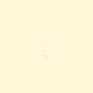 NC(=O)c1ccc(NS(=O)(=O)CCO)c(-c2cc(N3CCC(F)(F)CC3)c3occc3c2)c1N1CCC2(CC1)CC2